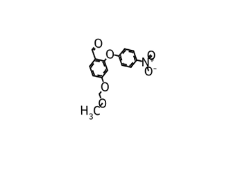 COCOc1ccc(C=O)c(Oc2ccc([N+](=O)[O-])cc2)c1